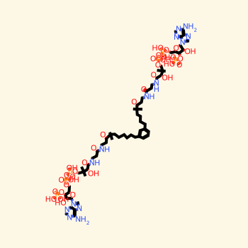 CC(C)(CCCCCCc1cccc(CCCCC(C)(C)C(=O)CCNC(=O)CCNC(=O)C(O)C(C)(C)COP(=O)(O)OP(=O)(O)OCC2OC(n3cnc4c(N)ncnc43)C(O)C2OP(=O)(O)O)c1)C(=O)CCNC(=O)CCNC(=O)C(O)C(C)(C)COP(=O)(O)OP(=O)(O)OCC1OC(n2cnc3c(N)ncnc32)C(O)C1OP(=O)(O)O